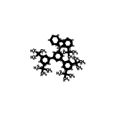 CC(C)(C)c1cc(-c2cc(-c3cc(C(C)(C)C)cc(C(C)(C)C)c3)cc(-n3c4c(c5cccc(C(C)(C)C)c53)CCC=C4)c2)cc(C(C)(C)C)c1